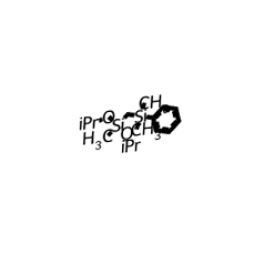 CC(C)O[Si](C)(C[Si](C)(C)c1ccccc1)OC(C)C